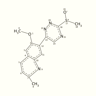 COc1cc2ccc(C)nc2cc1-c1cnc([S+](C)[O-])nn1